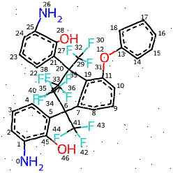 Nc1cccc(C(c2cccc(Oc3ccccc3)c2C(c2cccc(N)c2O)(C(F)(F)F)C(F)(F)F)(C(F)(F)F)C(F)(F)F)c1O